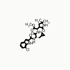 COC(=O)[C@@H](NC(=O)[C@H](CC1CC1)NC(=O)c1cc2cccc(Cl)c2[nH]1)C1CC(C)(C)NC1=O